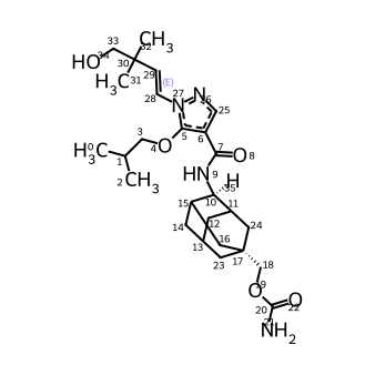 CC(C)COc1c(C(=O)N[C@H]2C3CC4CC2C[C@](COC(N)=O)(C4)C3)cnn1/C=C/C(C)(C)CO